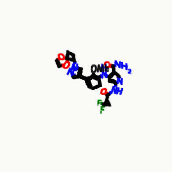 COc1c(Nc2cc(NC(=O)C3CC3(F)F)ncc2C(N)=O)cccc1-c1cnn(C2CCC23OCCO3)c1